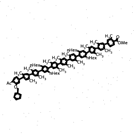 CCCCCCc1cc(-c2cc(C)c(-c3cc(C)c(-c4cc(C)c(-c5cc(CCCCCC)c(-c6cc(C)c(-c7cc(C)c(-c8ccc(C(C)=O)c(OCc9ccccc9)c8)cc7C)cc6C)cc5CCCCCC)cc4C)cc3C)cc2C)c(CCCCCC)cc1-c1cc(C)c(-c2cc(C)c(-c3ccc(C(=O)OC)c(C)c3)cc2C)cc1C